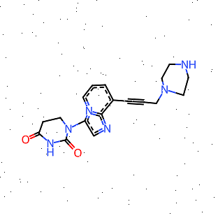 O=C1CCN(c2cnc3c(C#CCN4CCNCC4)cccn23)C(=O)N1